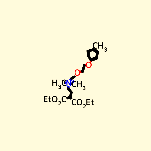 CCOC(=O)C(CC[N+](C)(C)CCOCCOc1ccc(C)cc1)C(=O)OCC